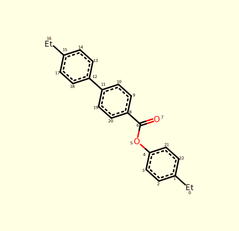 CCc1ccc(OC(=O)c2ccc(-c3ccc(CC)cc3)cc2)cc1